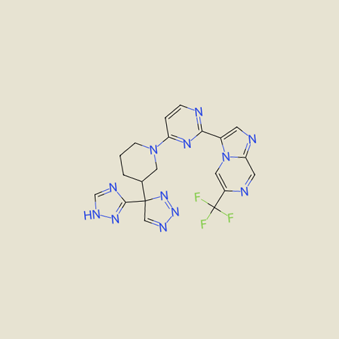 FC(F)(F)c1cn2c(-c3nccc(N4CCCC(C5(c6nc[nH]n6)C=NN=N5)C4)n3)cnc2cn1